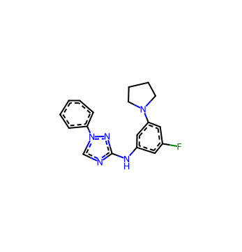 Fc1cc(Nc2ncn(-c3ccccc3)n2)cc(N2CCCC2)c1